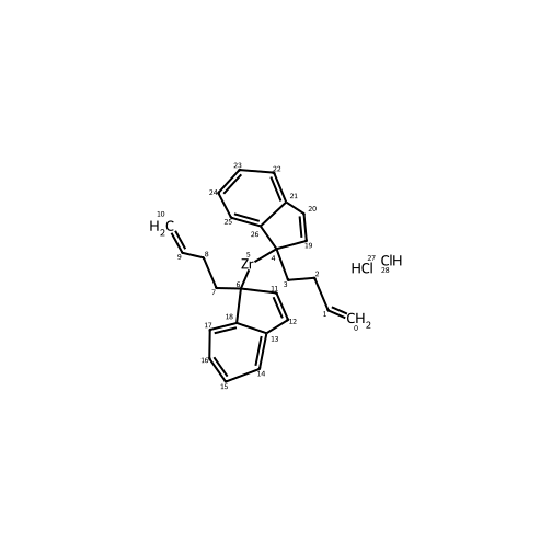 C=CCC[C]1([Zr][C]2(CCC=C)C=Cc3ccccc32)C=Cc2ccccc21.Cl.Cl